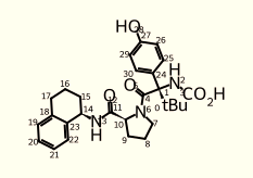 CC(C)(C)[C@@](NC(=O)O)(C(=O)N1CCC[C@H]1C(=O)N[C@@H]1CCCc2ccccc21)c1ccc(O)cc1